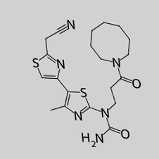 Cc1nc(N(CCC(=O)N2CCCCCCC2)C(N)=O)sc1-c1csc(CC#N)n1